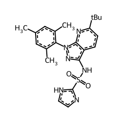 Cc1cc(C)c(-n2nc(NS(=O)(=O)c3ncc[nH]3)c3ccc(C(C)(C)C)nc32)c(C)c1